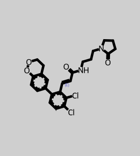 O=C(/C=C/c1c(-c2ccc3c(c2)CCOO3)c[c]c(Cl)c1Cl)NCCCN1CCCC1=O